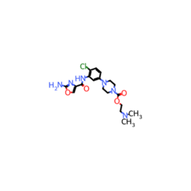 CN(C)CCOC(=O)N1CCN(c2ccc(Cl)c(NC(=O)c3coc(N)n3)c2)CC1